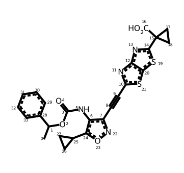 CC(OC(=O)Nc1c(C#Cc2nc3nc(C4(C(=O)O)CC4)sc3s2)noc1C1CC1)c1ccccc1